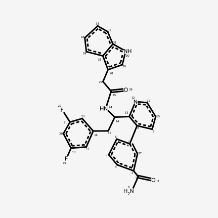 NC(=O)c1cccc(-c2cccnc2C(Cc2cc(F)cc(F)c2)NC(=O)Cc2c[nH]c3ccccc23)c1